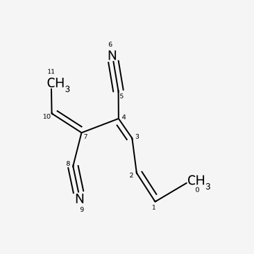 C\C=C/C=C(C#N)\C(C#N)=C/C